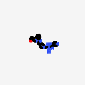 c1coc(Cn2c(CC3CCN(CCNc4nc5cnccc5[nH]4)CC3)nc3ccccc32)c1